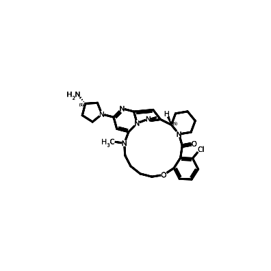 CN1CCCCOc2cccc(Cl)c2C(=O)N2CCCC[C@H]2c2cc3nc(N4CC[C@H](N)C4)cc1n3n2